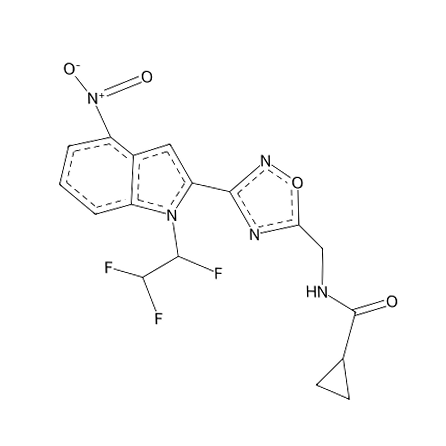 O=C(NCc1nc(-c2cc3c([N+](=O)[O-])cccc3n2C(F)C(F)F)no1)C1CC1